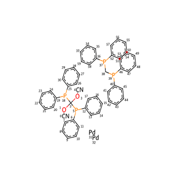 N#COC(OC#N)(P(c1ccccc1)c1ccccc1)P(c1ccccc1)c1ccccc1.[Pd].[Pd].c1ccc(P(CP(c2ccccc2)c2ccccc2)c2ccccc2)cc1